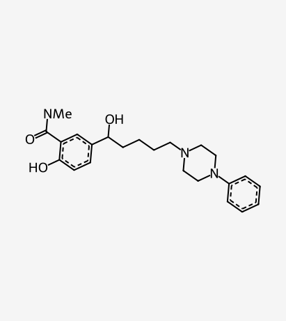 CNC(=O)c1cc(C(O)CCCCN2CCN(c3ccccc3)CC2)ccc1O